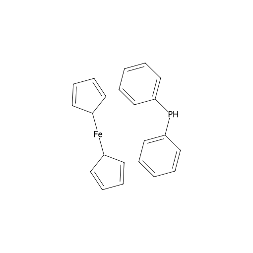 C1=C[CH]([Fe][CH]2C=CC=C2)C=C1.c1ccc(Pc2ccccc2)cc1